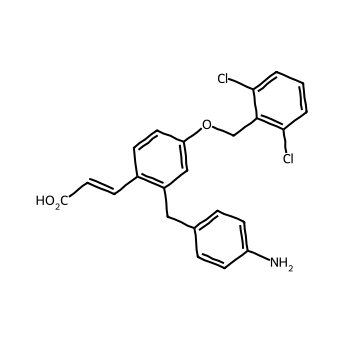 Nc1ccc(Cc2cc(OCc3c(Cl)cccc3Cl)ccc2C=CC(=O)O)cc1